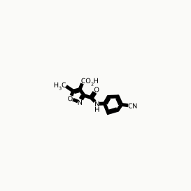 Cc1onc(C(=O)Nc2ccc(C#N)cc2)c1C(=O)O